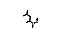 C=NN(C)C(C)CC(C)C